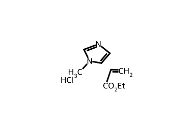 C=CC(=O)OCC.Cl.Cn1ccnc1